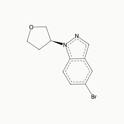 Brc1ccc2c(cnn2[C@H]2CCOC2)c1